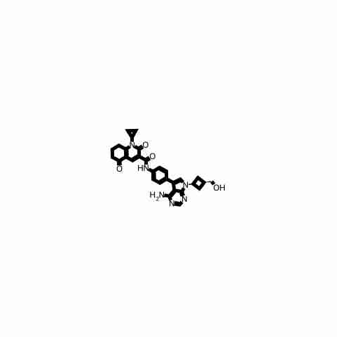 Nc1ncnc2c1c(-c1ccc(NC(=O)c3cc4c(n(C5CC5)c3=O)CCCC4=O)cc1)cn2[C@H]1C[C@@H](CO)C1